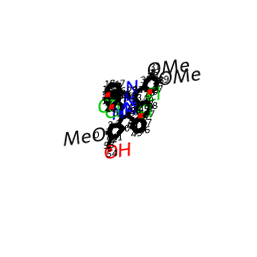 COc1cc(C2=NC(c3ccccc3Cl)(n3c(-c4ccccc4Cl)nc(-c4ccc(OC)c(OC)c4)c3-c3ccccc3Cl)N=C2c2ccccc2Cl)ccc1CO